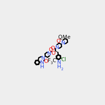 COC(=O)[C@@H]1CCCCN1C1CCN(C(=O)[C@@H](Cc2cc(Cl)c(N)c(C(F)(F)F)c2)OC(=O)N2CCC(N3CCc4ccccc4NC3=O)CC2)CC1